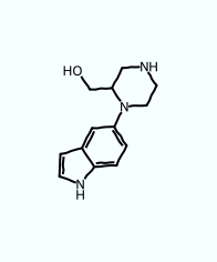 OCC1CNCCN1c1ccc2[nH]ccc2c1